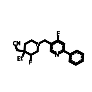 CCC1(CC#N)CCN(Cc2cnc(-c3ccccc3)cc2F)CC1F